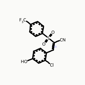 N#C/C(=C/c1ccc(O)cc1Cl)S(=O)(=O)c1ccc(C(F)(F)F)cc1